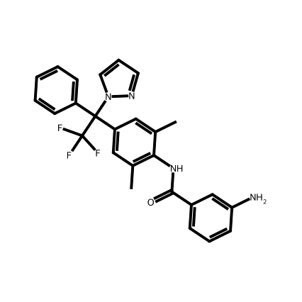 Cc1cc(C(c2ccccc2)(n2cccn2)C(F)(F)F)cc(C)c1NC(=O)c1cccc(N)c1